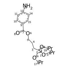 CC(C)O[Si](CCCOC(=O)c1ccc(N)cc1)(OC(C)C)OC(C)C